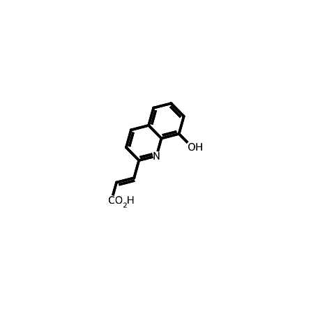 O=C(O)C=Cc1ccc2cccc(O)c2n1